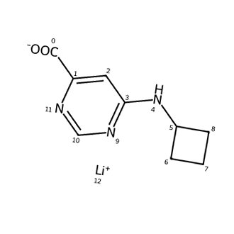 O=C([O-])c1cc(NC2CCC2)ncn1.[Li+]